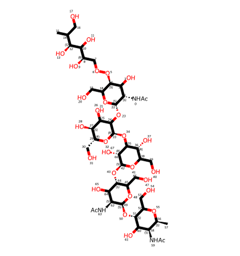 CC(=O)N[C@H]1C(O)[C@H](OOC[C@@H](O)C(O)[C@@H](O)C(C)CO)C(CO)O[C@H]1OC1C(O)[C@H](O)[C@@H](CO)O[C@@H]1OC1[C@H](O)C(CO)O[C@@H](O[C@@H]2C(CO)O[C@@H](O[C@@H]3C(CO)O[C@@H](C)[C@@H](NC(C)=O)C3O)[C@@H](NC(C)=O)C2O)[C@@H]1O